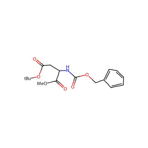 COC(=O)C(CC(=O)OC(C)(C)C)NC(=O)OCc1ccccc1